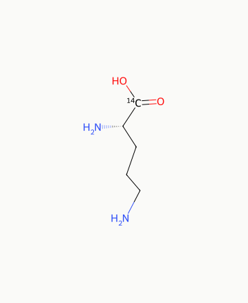 NCCC[C@H](N)[14C](=O)O